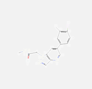 CNC(=O)Cn1ncc2ncc(-c3ccc(F)c(C)c3)cc21